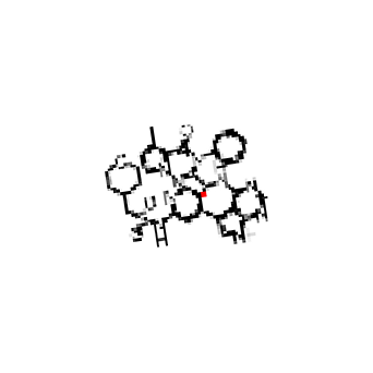 Cc1ccn2nc(C(C)Nc3ncnc4[nH]cc(-c5ccnc(NS(=O)(=O)CC6CCOCC6)c5)c34)n(-c3ccccc3)c(=O)c12